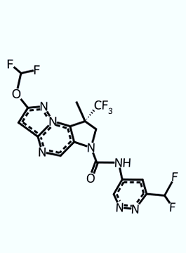 C[C@@]1(C(F)(F)F)CN(C(=O)Nc2cnnc(C(F)F)c2)c2cnc3cc(OC(F)F)nn3c21